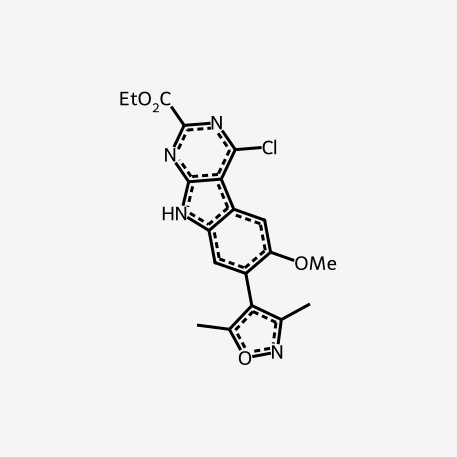 CCOC(=O)c1nc(Cl)c2c(n1)[nH]c1cc(-c3c(C)noc3C)c(OC)cc12